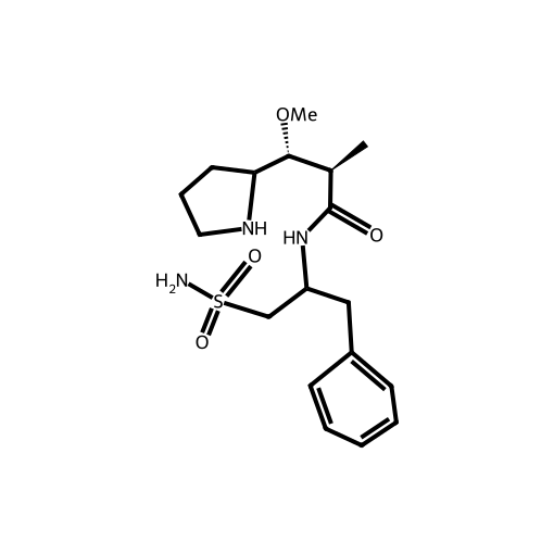 CO[C@@H](C1CCCN1)[C@@H](C)C(=O)NC(Cc1ccccc1)CS(N)(=O)=O